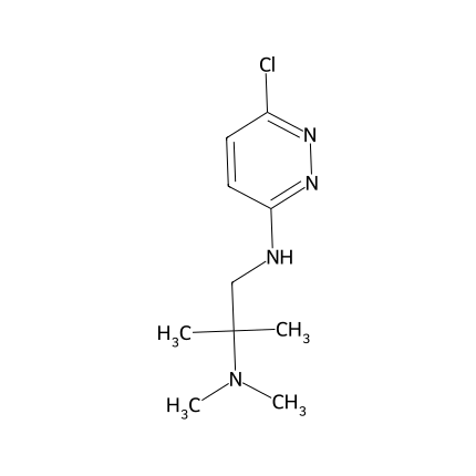 CN(C)C(C)(C)CNc1ccc(Cl)nn1